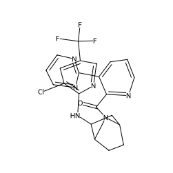 O=C(c1ncccc1-c1ncccn1)N1C2CCC1C(Nc1ncc(C(F)(F)F)cc1Cl)C2